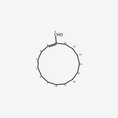 O=CC1=CCCCCCCCCCCCCC1